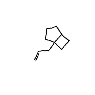 C=CCC12CCCC1CC2